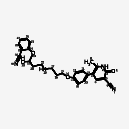 Cc1[nH]c(=O)c(C#N)cc1-c1ccc(OCCCNCCC(O)Oc2ccccc2C#N)cc1